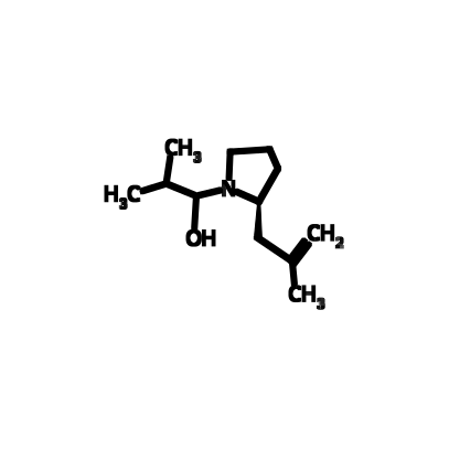 C=C(C)C[C@@H]1CCCN1C(O)C(C)C